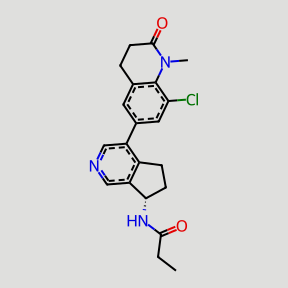 CCC(=O)N[C@H]1CCc2c(-c3cc(Cl)c4c(c3)CCC(=O)N4C)cncc21